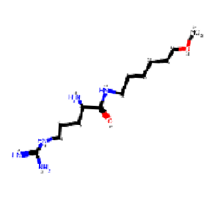 N=C(N)NCCCC(N)C(=O)NCCCCCCO[N+](=O)[O-]